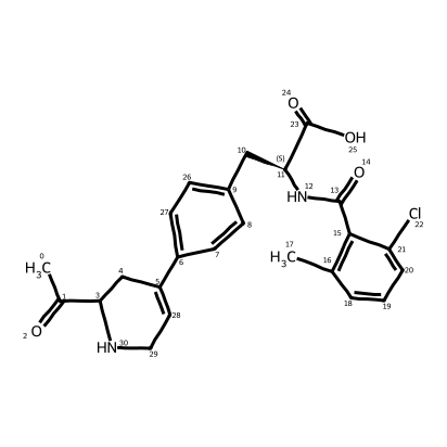 CC(=O)C1CC(c2ccc(C[C@H](NC(=O)c3c(C)cccc3Cl)C(=O)O)cc2)=CCN1